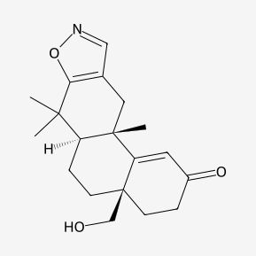 CC1(C)c2oncc2C[C@]2(C)C3=CC(=O)CC[C@]3(CO)CC[C@@H]12